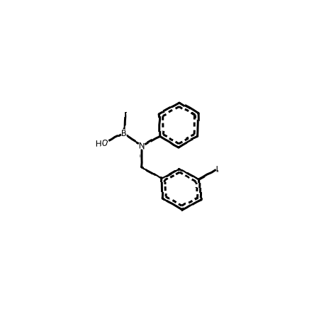 CB(O)N(Cc1cccc(I)c1)c1ccccc1